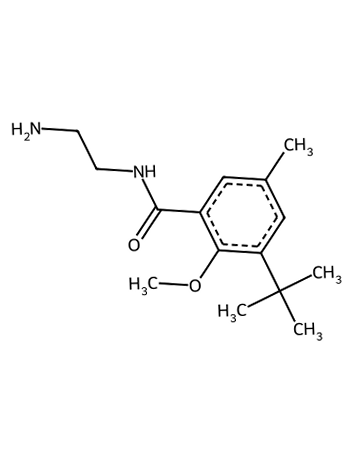 COc1c(C(=O)NCCN)cc(C)cc1C(C)(C)C